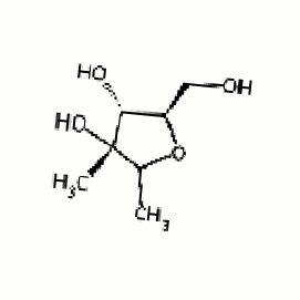 CC1O[C@H](CO)[C@@H](O)[C@@]1(C)O